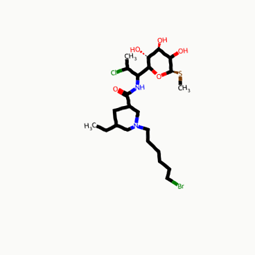 CCC1CC(C(=O)NC(C(C)Cl)C2O[C@H](SC)C(O)[C@H](O)[C@H]2O)CN(CCCCCCBr)C1